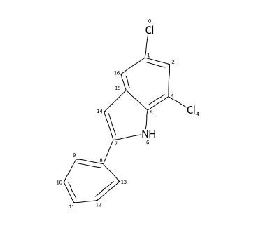 Clc1cc(Cl)c2[nH]c(-c3ccccc3)cc2c1